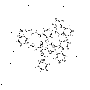 CC(=O)NCCOc1ccc(C(Cc2ccccc2)c2cccs2)cc1[C@@H]1O[C@H](COCc2ccccc2)[C@@H](OCc2ccccc2)[C@H](OCc2ccccc2)[C@H]1OCc1ccccc1